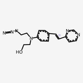 [N-]=[N+]=NCCN(CCO)c1ccc(/C=C/c2ccncn2)cc1